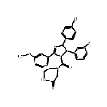 COc1cccc(C2=NC(c3ccc(Cl)cc3)C(c3cccc(F)c3)N2C(=O)N2CCNC(=O)C2)c1